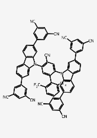 N#Cc1cc(C#N)cc(-c2ccc3c4ccc(-c5cc(C#N)cc(C#N)c5)cc4n(-c4cc(-c5c(C(F)(F)F)cccc5C(F)(F)F)c(-n5c6cc(-c7cc(C#N)cc(C#N)c7)ccc6c6ccc(-c7cc(C#N)cc(C#N)c7)cc65)cc4C#N)c3c2)c1